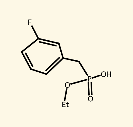 CCOP(=O)(O)Cc1cccc(F)c1